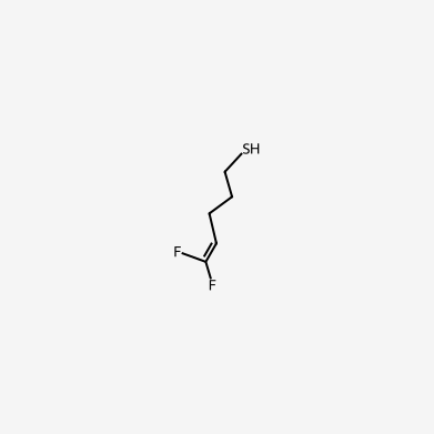 FC(F)=CCCCS